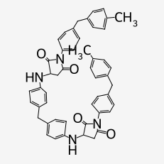 Cc1ccc(Cc2ccc(N3C(=O)CC(Nc4ccc(Cc5ccc(NC6CC(=O)N(c7ccc(Cc8ccc(C)cc8)cc7)C6=O)cc5)cc4)C3=O)cc2)cc1